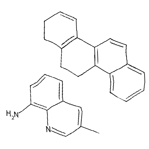 C1=CC2=C(CC1)CCc1c2ccc2ccccc12.Cc1cnc2c(N)cccc2c1